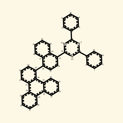 c1ccc(-c2nc(-c3ccccc3)nc(-c3ccc(-c4cccc5c6ccccc6c6ccccc6c45)c4ccccc34)n2)cc1